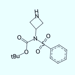 CC(C)(C)OC(=O)N(C1CNC1)S(=O)(=O)c1ccccc1